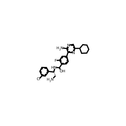 NC[C@@H](NC(O)c1ccc(-c2nc(C3CCCCC3)cnc2N)cc1F)c1cccc(Cl)c1